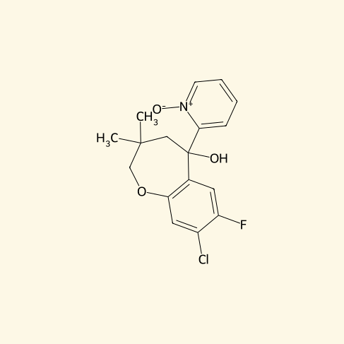 CC1(C)COc2cc(Cl)c(F)cc2C(O)(c2cccc[n+]2[O-])C1